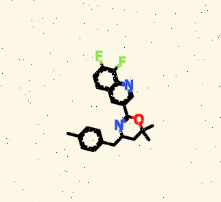 Cc1ccc(CC2CC(C)(C)OC(c3cnc4c(F)c(F)ccc4c3)=N2)cc1